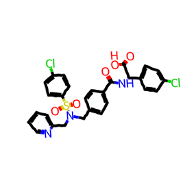 O=C(NC(C(=O)O)c1ccc(Cl)cc1)c1ccc(CN(Cc2ccccn2)S(=O)(=O)c2ccc(Cl)cc2)cc1